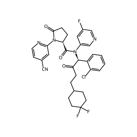 N#Cc1ccnc(N2C(=O)CC[C@H]2C(=O)N(c2cncc(F)c2)[C@H](C(=O)CCC2CCC(F)(F)CC2)c2ccccc2Cl)c1